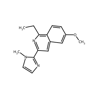 CCc1nc(-c2nccn2C)cc2cc(OC)ccc12